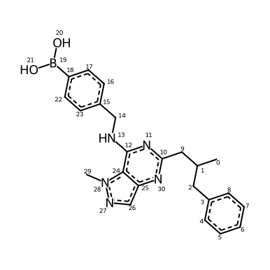 CC(Cc1ccccc1)Cc1nc(NCc2ccc(B(O)O)cc2)c2c(cnn2C)n1